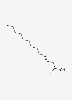 CCCCCCCCCC=CCC(=O)O